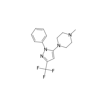 CN1CCN(c2cc(C(F)(F)F)nn2-c2ccccc2)CC1